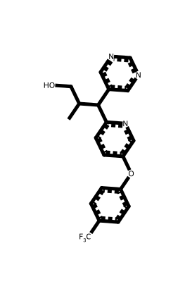 CC(CO)C(c1cncnc1)c1ccc(Oc2ccc(C(F)(F)F)cc2)cn1